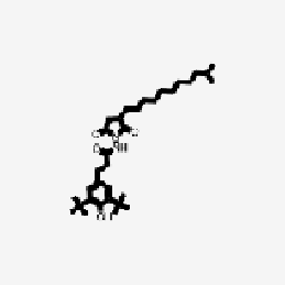 CC(C)CCCCCCCCCC1CC(=O)N(NC(=O)CCc2cc(C(C)(C)C)c(O)c(C(C)(C)C)c2)C1=O